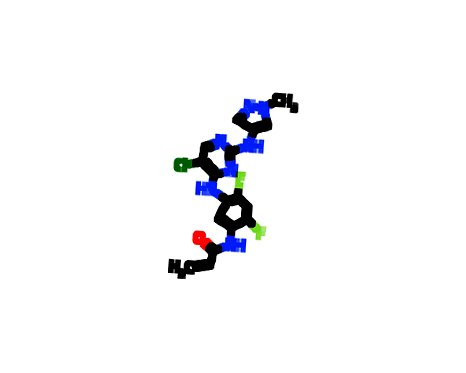 C=CC(=O)Nc1cc(Nc2nc(Nc3cnn(C)c3)ncc2Cl)c(F)cc1F